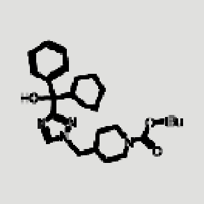 CC(C)(C)OC(=O)N1CCC(Cn2cnc(C(O)(c3ccccc3)C3CCCCC3)n2)CC1